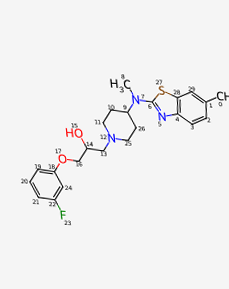 Cc1ccc2nc(N(C)C3CCN(CC(O)COc4cccc(F)c4)CC3)sc2c1